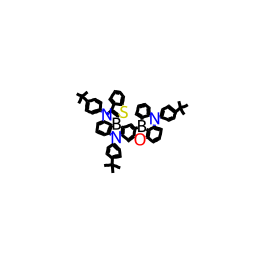 CC(C)(C)c1ccc(N2c3ccccc3B3c4cc5c(cc4Oc4cccc2c43)N(c2ccc(C(C)(C)C)cc2)c2cccc3c2B5c2sc4ccccc4c2N3c2ccc(C(C)(C)C)cc2)cc1